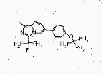 Cc1nc(C(F)(P)P)n2cc(-c3ccc(OC(P)(P)P)cc3)ccc12